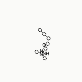 c1ccc(C2=NC(c3ccccc3)NC(c3ccc4c(c3)oc3cc(-c5cccc(-c6ccc(-c7ccccc7)cc6)c5)ccc34)=N2)cc1